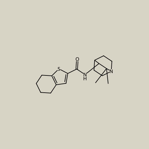 CC1(C)C(NC(=O)c2cc3c(s2)CCCC3)C2CCN1CC2